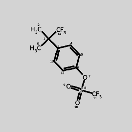 CC(C)(c1ccc(OS(=O)(=O)C(F)(F)F)cc1)C(F)(F)F